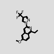 CCc1nc(-n2cc(C(F)(F)F)cn2)cc2cc(OC)ccc12